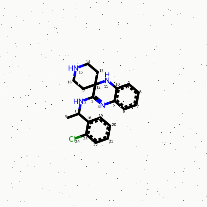 CC(NC1=Nc2ccccc2NC12CCNCC2)c1ccccc1Cl